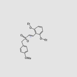 CCOc1cccc(OCC)c1/C=C/S(=O)(=O)Cc1ccc(OC)cc1